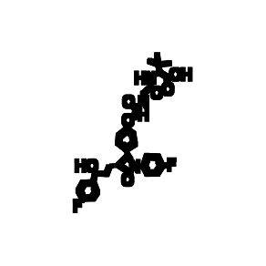 CC(C)(C)[C@@H](NC(=O)CNC(=O)COc1ccc([C@@H]2[C@@H](CC[C@H](O)c3ccc(F)cc3)C(=O)N2c2ccc(F)cc2)cc1)C(=O)O